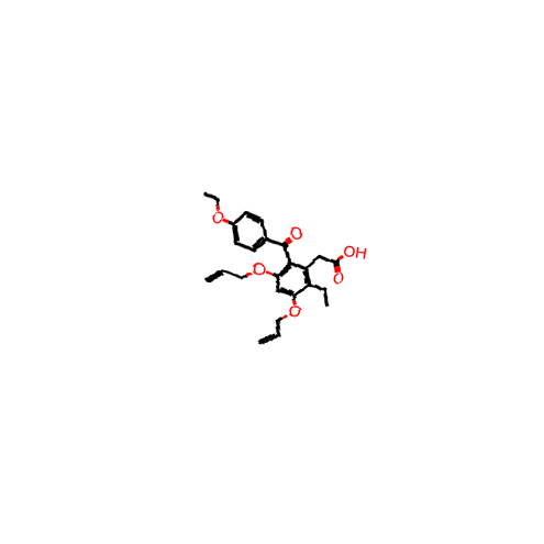 C=CCOc1cc(OCC=C)c(C(=O)c2ccc(OCC)cc2)c(CC(=O)O)c1CC